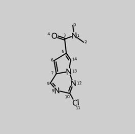 CN(C)C(=O)c1cc2cnc(Cl)nn2c1